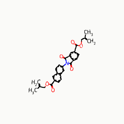 C=C(C)COC(=O)c1ccc2c(c1)C(=O)N(c1ccc3cc(C(=O)OCC(=C)C)ccc3c1)C2=O